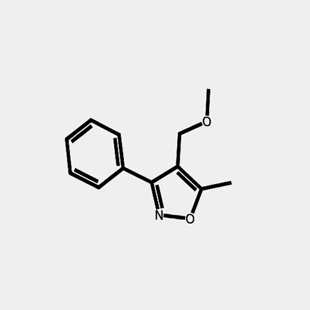 COCc1c(-c2ccccc2)noc1C